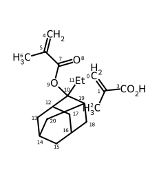 C=C(C)C(=O)O.C=C(C)C(=O)OC1(CC)C2CC3CC(C2)CC1C3